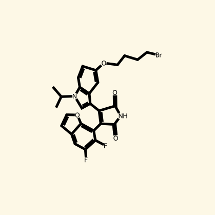 CC(C)n1cc(C2=C(c3c(F)c(F)cc4ccoc34)C(=O)NC2=O)c2cc(OCCCCBr)ccc21